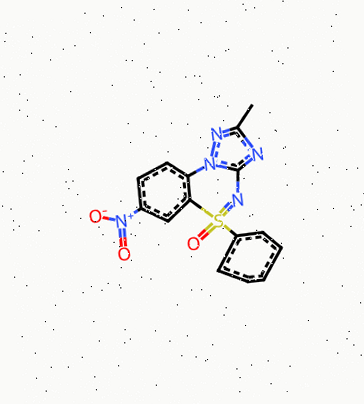 Cc1nc2n(n1)-c1ccc([N+](=O)[O-])cc1S(=O)(c1ccccc1)=N2